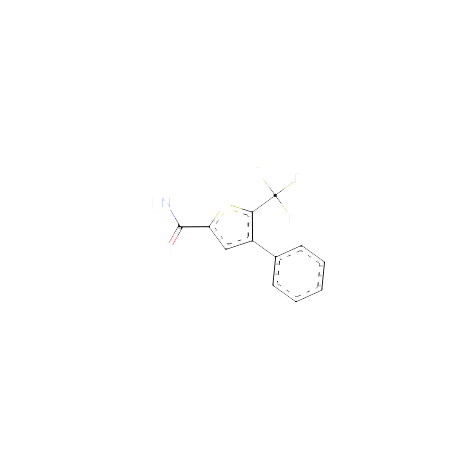 NC(=O)c1cc(-c2ccccc2)c(C(F)(F)F)s1